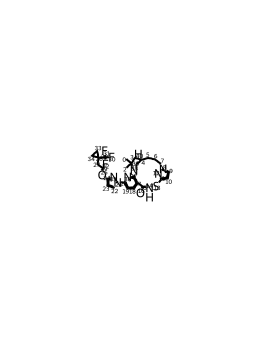 CC1(C)C[C@H]2CCCn3ccc(n3)SNC(=O)c3ccc(-n4ccc(OCCC5(C(F)(F)F)CC5)n4)nc3N1C2